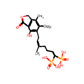 COc1c(C)c2c(c(O)c1CC=C(C)CCCC(P(=O)(O)O)P(=O)(O)O)C(=O)OC2